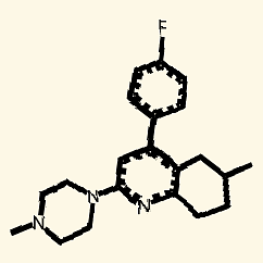 CC1CCc2nc(N3CCN(C)CC3)cc(-c3ccc(F)cc3)c2C1